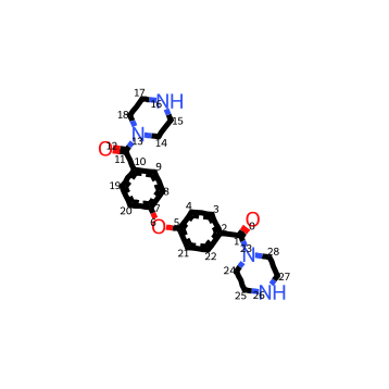 O=C(c1ccc(Oc2ccc(C(=O)N3CCNCC3)cc2)cc1)N1CCNCC1